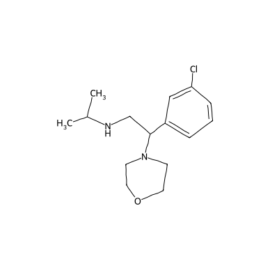 CC(C)NCC(c1cccc(Cl)c1)N1CCOCC1